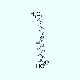 CCCCCCCCC#CCCCCC=CCC(=O)O